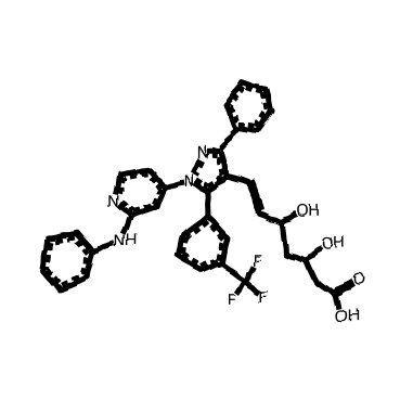 O=C(O)CC(O)CC(O)/C=C/c1c(-c2ccccc2)nn(-c2ccnc(Nc3ccccc3)c2)c1-c1cccc(C(F)(F)F)c1